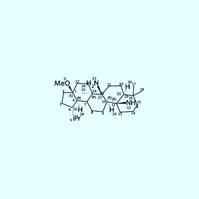 CO[C@]12CC[C@@H](C(C)C)[C@@H]1C1CC[C@@H]3[C@@]4(N)CCCC(C)(C)[C@@H]4CC[C@@]3(N)[C@]1(C)CC2